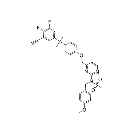 COc1ccc(CN(c2nccc(COc3ccc(C(C)(C)c4cc(F)c(F)c(C#N)c4)cc3)n2)S(C)(=O)=O)cc1